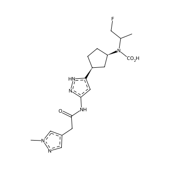 CC(CF)N(C(=O)O)[C@@H]1CC[C@H](c2cc(NC(=O)Cc3cnn(C)c3)n[nH]2)C1